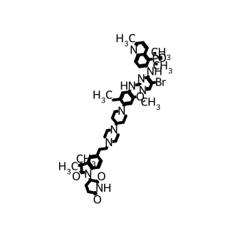 CCc1cc(Nc2ncc(Br)c(Nc3ccc4nc(C)ccc4c3P(C)(C)=O)n2)c(OC)cc1N1CCC(N2CCN(CCc3ccc4c(c3)C(C)(C)C(=O)N4C3CCC(=O)NC3=O)CC2)CC1